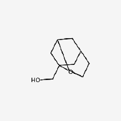 OCC12CC3CC(CC(C3)O1)C2